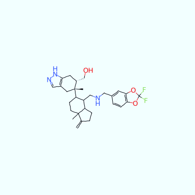 C=C1CCC2C(CNCc3ccc4c(c3)OC(F)(F)O4)C([C@]3(C)Cc4cn[nH]c4C[C@@H]3CO)CCC12C